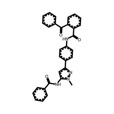 Cn1nc(-c2ccc(NC(=O)c3ccccc3C(=O)c3ccccc3)cc2)cc1NC(=O)c1ccccc1